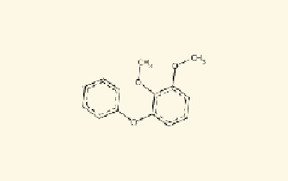 COc1cccc(Oc2cc[c]cc2)c1OC